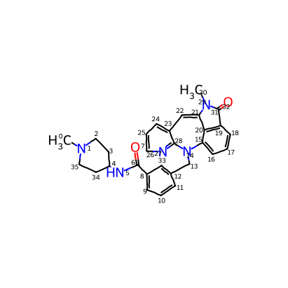 CN1CCC(NC(=O)c2cccc(CN3c4cccc5c4C(=Cc4cccnc43)N(C)C5=O)c2)CC1